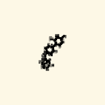 Cc1ccc(-c2cnc(OC3CN4CCC3CC4)nc2)c(F)c1